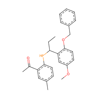 CCC(Pc1ccc(C)cc1C(C)=O)c1cc(OC)ccc1OCc1ccccc1